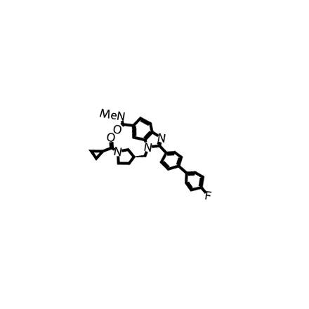 CNC(=O)c1ccc2nc(-c3ccc(-c4ccc(F)cc4)cc3)n(C[C@H]3CCN(C(=O)C4CC4)C3)c2c1